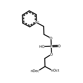 CCCCCCCCCCC(CCCCCCCC)COP(=O)(O)OCC[n+]1ccccc1